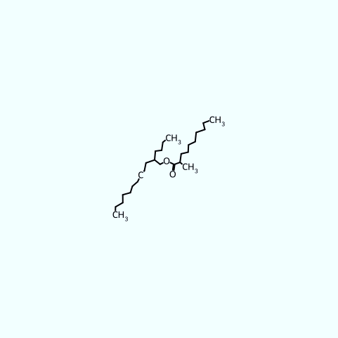 CCCCCCCCCCC(CCCC)COC(=O)C(C)CCCCCCCC